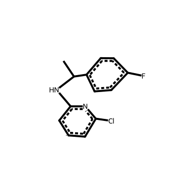 CC(Nc1c[c]cc(Cl)n1)c1ccc(F)cc1